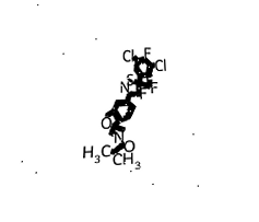 CC(C)C(=O)N1CC2(C1)OCc1cc(C3=NSC(c4cc(Cl)c(F)c(Cl)c4)(C(F)(F)F)C3)ccc12